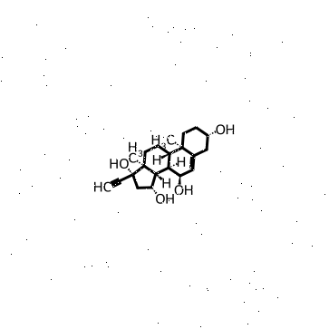 C#C[C@]1(O)C[C@@H](O)[C@H]2[C@@H]3[C@H](O)C=C4C[C@@H](O)CC[C@]4(C)[C@H]3CC[C@@]21C